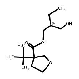 CC[C@@H](CO)CNC(=O)C1(C(C)(C)C)CCOC1